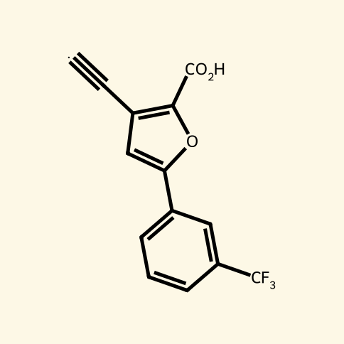 [C]#Cc1cc(-c2cccc(C(F)(F)F)c2)oc1C(=O)O